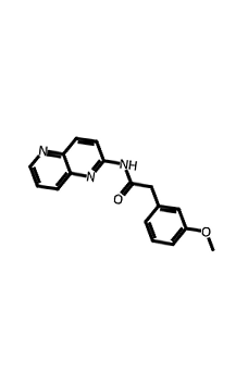 COc1cccc(CC(=O)Nc2ccc3ncccc3n2)c1